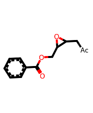 CC(=O)CC1OC1COC(=O)c1ccccc1